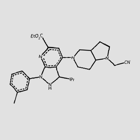 CCOC(=O)c1cc(N2CCC3C(CCN3CC#N)C2)c2c(n1)N(c1cccc(C)c1)NC2C(C)C